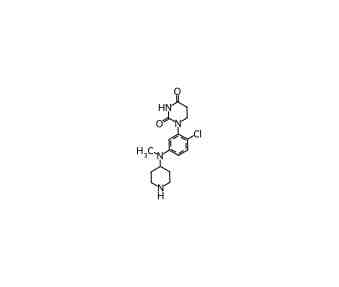 CN(c1ccc(Cl)c(N2CCC(=O)NC2=O)c1)C1CCNCC1